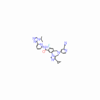 CC(C)n1cnnc1-c1cccc(NC(=O)c2cc3c(cc2F)CN(c2ccnc(C#N)c2)Cc2c(C4CC4)ncn2-3)n1